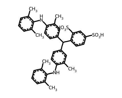 Cc1cc(C(c2ccc(Nc3c(C)cccc3C)c(C)c2)c2ccc(S(=O)(=O)O)cc2S(=O)(=O)O)ccc1Nc1c(C)cccc1C